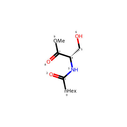 CCCCCCC(=O)N[C@@H](CO)C(=O)OC